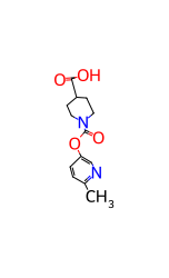 Cc1ccc(OC(=O)N2CCC(C(=O)O)CC2)cn1